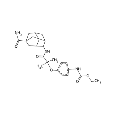 CCOC(=O)Nc1ccc(OC(C)(C)C(=O)NC2C3CC4CC2CC(C(N)=O)(C4)C3)cc1